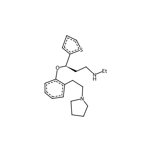 CCNCC[C@@H](Oc1ccccc1CCN1CCCC1)c1cccs1